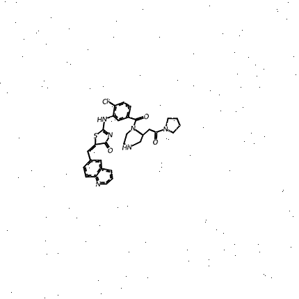 O=C1N=C(Nc2cc(C(=O)N3CCNCC3CC(=O)N3CCCC3)ccc2Cl)SC1=Cc1ccc2ncccc2c1